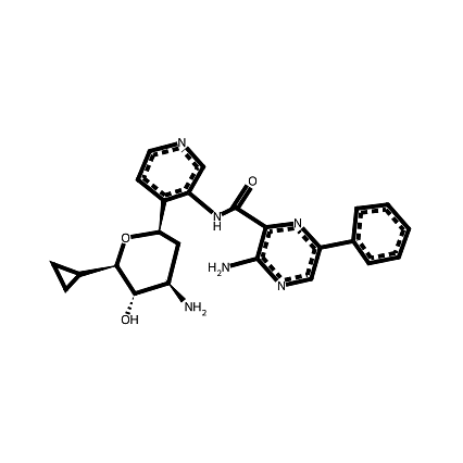 Nc1ncc(-c2ccccc2)nc1C(=O)Nc1cnccc1[C@H]1C[C@@H](N)[C@H](O)[C@@H](C2CC2)O1